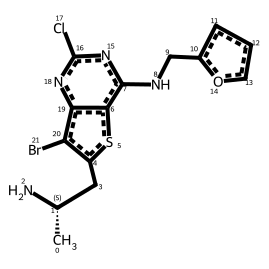 C[C@H](N)Cc1sc2c(NCc3ccco3)nc(Cl)nc2c1Br